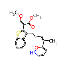 COC=C(C(=O)OC)c1sc2ccccc2c1CCC=C(C)C1=CC=CNO1